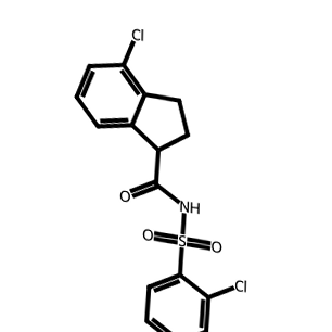 O=C(NS(=O)(=O)c1ccccc1Cl)C1CCc2c(Cl)cccc21